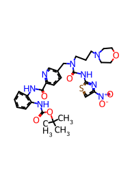 CC(C)(C)OC(=O)Nc1ccccc1NC(=O)c1ccc(CN(CCCN2CCOCC2)C(=O)Nc2nc([N+](=O)[O-])cs2)cn1